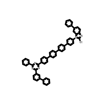 CCc1nc2ccc(-c3ccccc3)cc2n1-c1ccc(-c2ccc(-c3ccc(-c4ccc(-c5nc(-c6ccccc6)nc(-c6cccc(-c7ccccc7)c6)n5)cc4)cc3)cc2)cc1